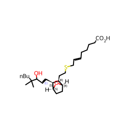 CCCCC(C)(C)C(O)/C=C/[C@H]1[C@@H](CCSCC=CCCCCC(=O)O)[C@H]2CC[C@@H]1O2